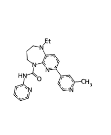 CCN1CCCN(C(=O)Nc2ccccn2)c2nc(-c3ccnc(C)c3)ccc21